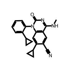 CNc1nc(=O)n(-c2ccccc2C2CC2)c2cc(C3CC3)c(C#N)cc12